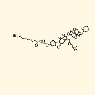 C[Si](C)(C)CCOCn1c(O[C@@H]2CO[C@H]3[C@@H]2OC[C@H]3OC2CCCCO2)nc2nc(-c3ccc(OCCNC(=O)CCCCCCCCBr)cc3)c(Cl)cc21